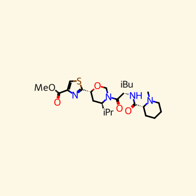 CC[C@H](C)[C@H](NC(=O)[C@H]1CCCCN1C)C(=O)N1CO[C@@H](c2nc(C(=O)OC)cs2)C[C@@H]1C(C)C